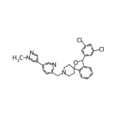 Cn1cc(-c2ccc(CN3CCC4(CC3)OC(c3cc(Cl)cc(Cl)c3)c3ccccc34)nc2)cn1